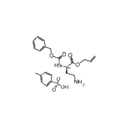 C=CCOC(=O)[C@@H](CCN)NC(=O)OCc1ccccc1.Cc1ccc(S(=O)(=O)O)cc1